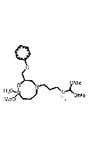 COC(OC)[SiH2]CCCN1CCC[Si](C)(OC)OC(COc2ccccc2)C1